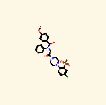 CCOc1ccc(C(=O)N(CC(=O)N2CCN(c3ccc(F)cc3S(C)(=O)=O)CC2)c2ccccc2)cc1